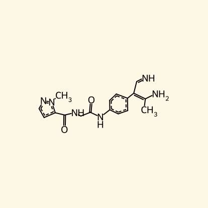 C/C(N)=C(/C=N)c1ccc(NC(=O)CNC(=O)c2ccnn2C)cc1